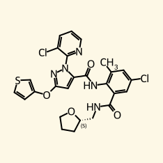 Cc1cc(Cl)cc(C(=O)NC[C@@H]2CCCO2)c1NC(=O)c1cc(Oc2ccsc2)nn1-c1ncccc1Cl